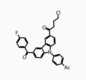 CC(=O)c1ccc(-n2c3ccc(C(=O)CCCCl)cc3c3cc(C(=O)c4ccc(F)cc4)ccc32)cc1